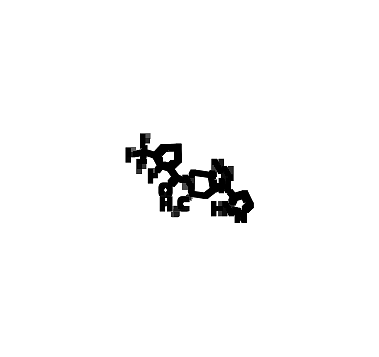 C[C@H]1Cc2c(nnn2-c2ccn[nH]2)CN1C(=O)c1cccc(C(F)(F)F)c1F